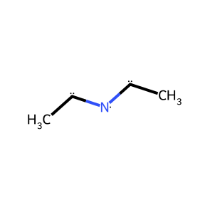 C[C][N][C]C